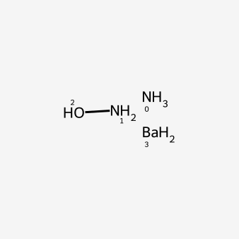 N.NO.[BaH2]